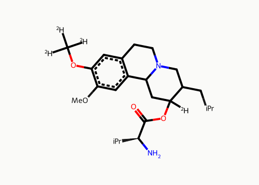 [2H]C([2H])([2H])Oc1cc2c(cc1OC)C1CC([2H])(OC(=O)[C@@H](N)C(C)C)C(CC(C)C)CN1CC2